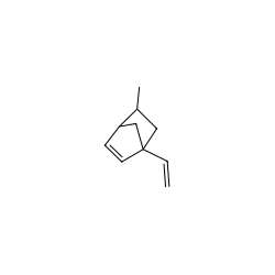 C=CC12C=CC(C1)C(C)C2